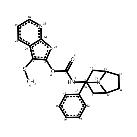 CSc1c(OC(=O)NC2CC3CCC(C2)N3Cc2ccccc2)sc2ncccc12